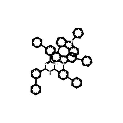 c1ccc(-c2cccc(C3=NC(c4cccc(-c5ccccc5)c4)NC(c4ccc(-c5ccccc5)cc4-n4c5cc(-c6ccccc6)ccc5c5c(-c6cccc7c6c6ccccc6n7-c6ccccc6)cccc54)N3)c2)cc1